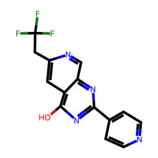 Oc1nc(-c2ccncc2)nc2cnc(CC(F)(F)F)cc12